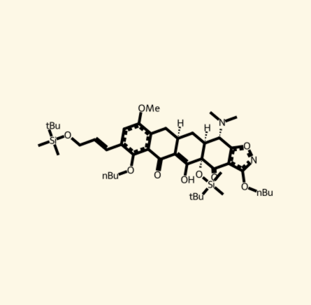 CCCCOc1noc2c1C(=O)[C@@]1(O[Si](C)(C)C(C)(C)C)C(O)=C3C(=O)c4c(c(OC)cc(C=CCO[Si](C)(C)C(C)(C)C)c4OCCCC)C[C@H]3C[C@H]1[C@@H]2N(C)C